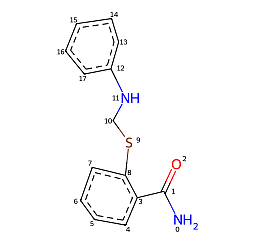 NC(=O)c1ccccc1SCNc1ccccc1